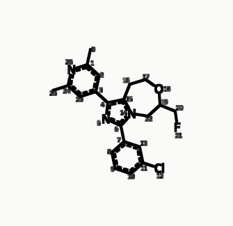 Cc1cc(-c2nc(-c3cccc(Cl)c3)n3c2CCOC(CF)C3)cc(C)n1